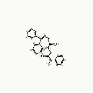 CCN(C(=O)CN1C(=O)CN=C(c2ccccc2)c2ccccc21)c1ccccc1